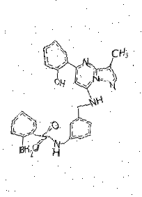 Bc1ccccc1S(=O)(=O)Nc1cccc(CNc2cc(-c3ccccc3O)nc3c(C)cnn23)c1